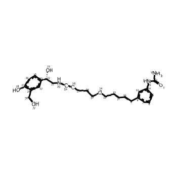 NC(=O)Nc1cccc(CCCCCOCCCCCNC[C@@H](O)c2ccc(O)c(CO)c2)c1